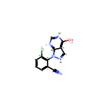 N#Cc1cccc(Cl)c1-n1ncc2c(O)ncnc21